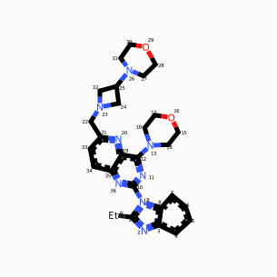 CCc1nc2ccccc2n1-c1nc(N2CCOCC2)c2nc(CN3CC(N4CCOCC4)C3)ccc2n1